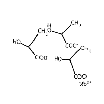 CC(O)C(=O)[O-].CC(O)C(=O)[O-].CC(O)C(=O)[O-].[Nb+3]